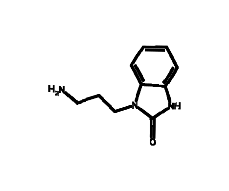 NCCCn1c(=O)[nH]c2ccccc21